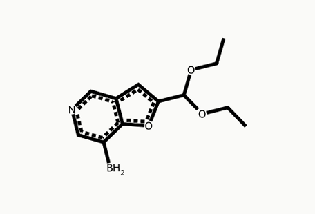 Bc1cncc2cc(C(OCC)OCC)oc12